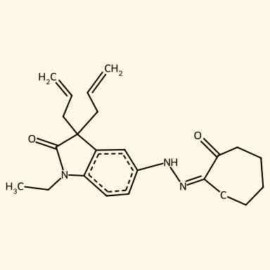 C=CCC1(CC=C)C(=O)N(CC)c2ccc(N/N=C3/CCCCCC3=O)cc21